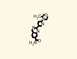 CC1COCCN1c1ccc(-c2ncc3ccc(C(N)=O)cc3n2)cn1